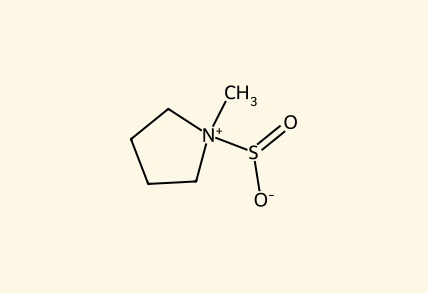 C[N+]1(S(=O)[O-])CCCC1